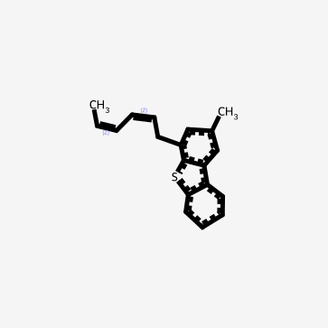 C/C=C\C=C/Cc1cc(C)cc2c1sc1ccccc12